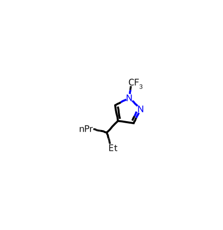 CCCC(CC)c1cnn(C(F)(F)F)c1